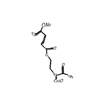 CCCC(=O)N(C=O)CCOC(=O)/C=C/C(=O)OC